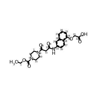 CCOC(=O)N1CCN(C(=O)CC(=O)Nc2ccc3c(OCC(=O)O)cccc3c2)CC1